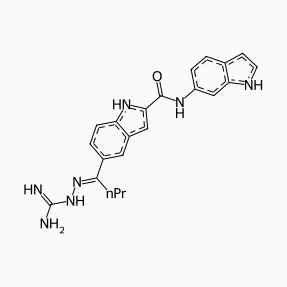 CCC/C(=N\NC(=N)N)c1ccc2[nH]c(C(=O)Nc3ccc4cc[nH]c4c3)cc2c1